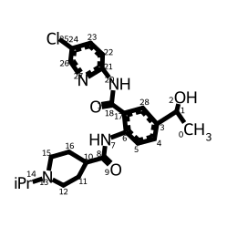 CC(O)c1ccc(NC(=O)C2CCN(C(C)C)CC2)c(C(=O)Nc2ccc(Cl)cn2)c1